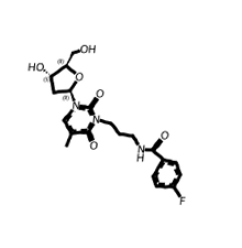 Cc1cn([C@H]2C[C@H](O)[C@@H](CO)O2)c(=O)n(CCCNC(=O)c2ccc(F)cc2)c1=O